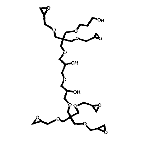 OCCCOCC(COCC(O)COCC(O)COCC(COCC1CO1)(COCC1CO1)COCC1CO1)(COCC1CO1)COCC1CO1